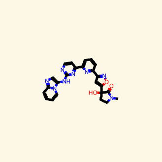 CN1CCC(O)(c2cc(-c3cccc(-c4ccnc(Nc5cnc6ccccn56)n4)n3)no2)C1=O